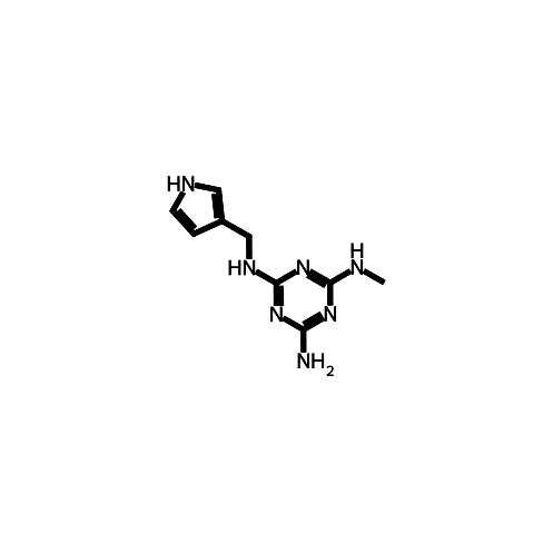 CNc1nc(N)nc(NCc2cc[nH]c2)n1